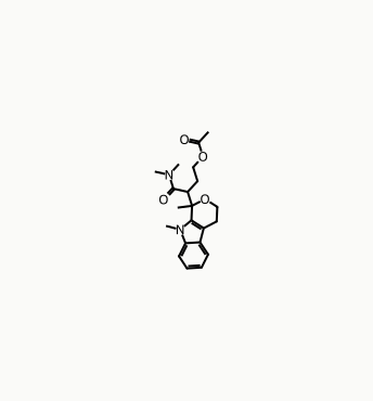 CC(=O)OCCC(C(=O)N(C)C)C1(C)OCCc2c1n(C)c1ccccc21